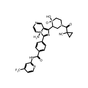 N#CC1(C(=O)N2CCS([O-])(O)C(C3=C4C=NC=C[N+]4(N)C(c4ccc(C(=O)Nc5cc(C(F)(F)F)ccn5)cc4)=N3)C2)CC1